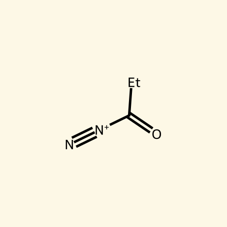 CCC(=O)[N+]#N